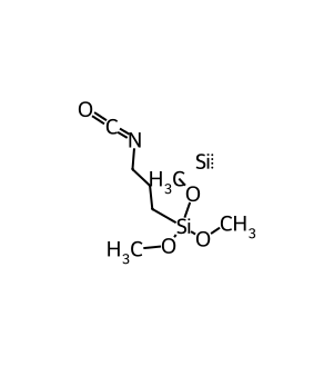 CO[Si](CCCN=C=O)(OC)OC.[Si]